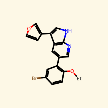 CCOc1ccc(Br)cc1-c1cnc2[nH]cc(-c3ccoc3)c2c1